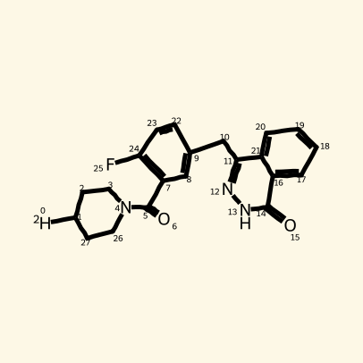 [2H]C1CCN(C(=O)c2cc(Cc3n[nH]c(=O)c4ccccc34)ccc2F)CC1